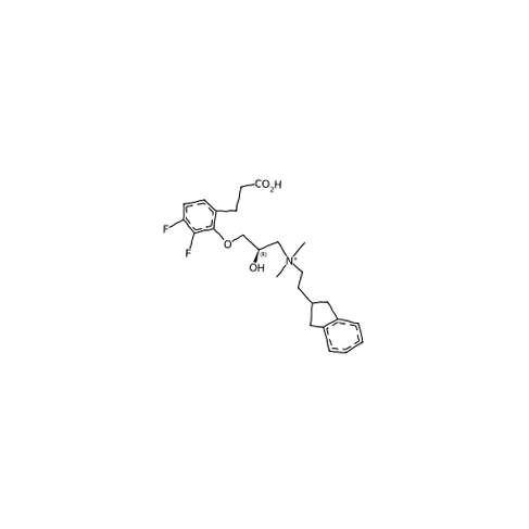 C[N+](C)(CCC1Cc2ccccc2C1)C[C@@H](O)COc1c(CCC(=O)O)ccc(F)c1F